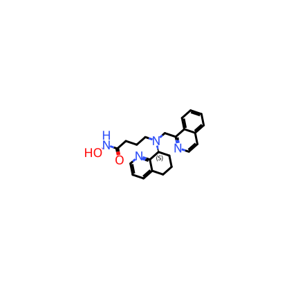 O=C(CCCN(Cc1nccc2ccccc12)[C@H]1CCCc2cccnc21)NO